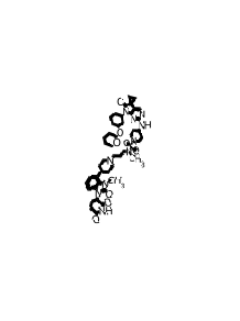 CN(CCCN1CCC(c2cccc3c2n(C)c(=O)n3C2CCC(=O)NC2=O)CC1)S(=O)(=O)N1CCC(Nc2ncc3c(n2)N([C@@H]2CCC[C@@H](OC4CCCCO4)C2)C(=O)C32CC2)CC1